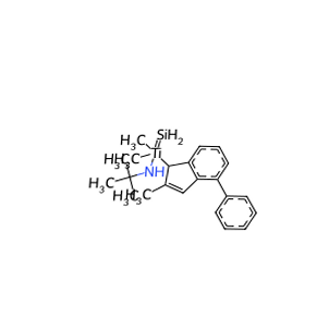 CC1=Cc2c(-c3ccccc3)cccc2[CH]1[Ti]([CH3])([CH3])(=[SiH2])[NH]C(C)(C)C